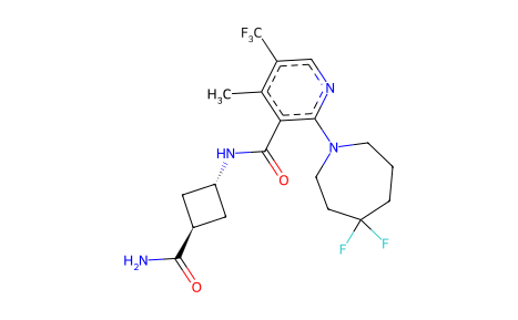 Cc1c(C(F)(F)F)cnc(N2CCCC(F)(F)CC2)c1C(=O)N[C@H]1C[C@H](C(N)=O)C1